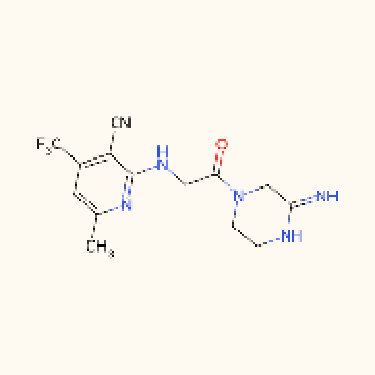 Cc1cc(C(F)(F)F)c(C#N)c(NCC(=O)N2CCNC(=N)C2)n1